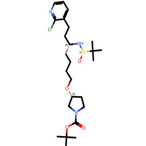 CC(C)(C)OC(=O)N1CC[C@@H](OCCCC[C@H](CCc2cccnc2Cl)N[S@+]([O-])C(C)(C)C)C1